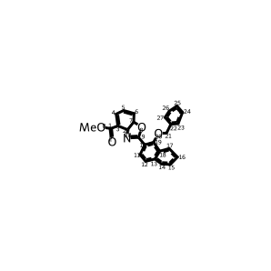 COC(=O)C1=CC=CC2OC(c3ccc4ccccc4c3OCc3ccccc3)=NC12